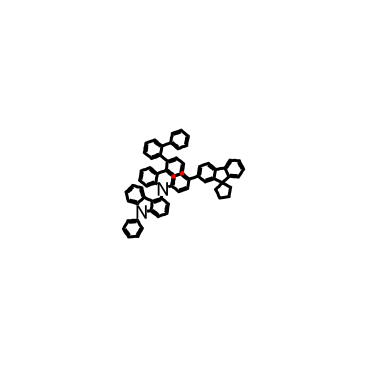 c1ccc(-c2ccccc2-c2ccccc2-c2ccccc2N(c2ccc(-c3ccc4c(c3)C3(CCCC3)c3ccccc3-4)cc2)c2cccc3c2c2ccccc2n3-c2ccccc2)cc1